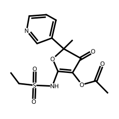 CCS(=O)(=O)NC1=C(OC(C)=O)C(=O)C(C)(c2cccnc2)O1